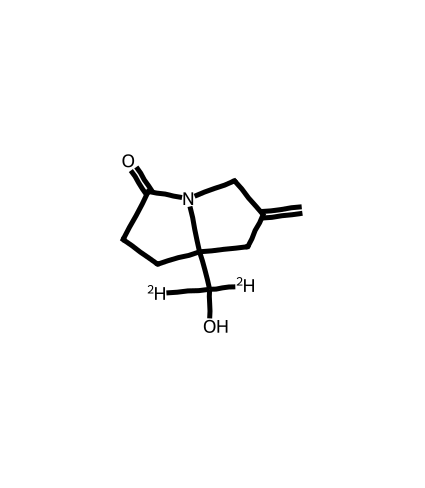 [2H]C([2H])(O)C12CCC(=O)N1CC(=C)C2